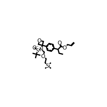 C=CCOC(=O)C(CC)c1ccc(C2(N(COCC[Si](C)(C)C)[S+]([O-])C(C)(C)C)COC2)cc1